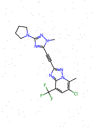 Cc1c(Cl)cc(C(F)(F)F)c2nc(C#Cc3nc(N4CCCC4)nn3C)nn12